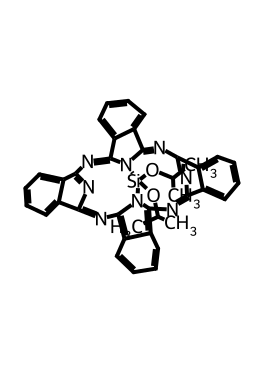 CC(C)O[Si]1(OC(C)C)n2c3c4ccccc4c2/N=C2N=C(/N=c4/c5ccccc5/c(n41)=N/C1=NC(=N\3)/c3ccccc31)c1ccccc1\2